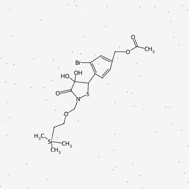 CC(=O)OCc1ccc(C2SN(COCC[Si](C)(C)C)C(=O)C2(O)O)c(Br)c1